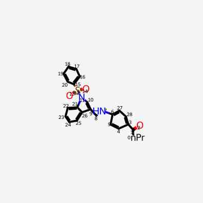 CCCC(=O)c1ccc(NCc2cn(S(=O)(=O)c3ccccc3)c3ccccc23)cc1